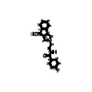 O=C(NCCN1CC2c3ccccc3C(O)C2C1)c1ccc(F)cc1